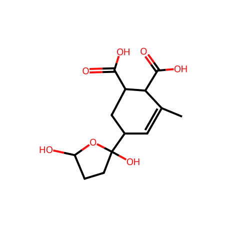 CC1=CC(C2(O)CCC(O)O2)CC(C(=O)O)C1C(=O)O